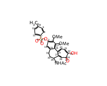 COc1c(OS(=O)(=O)c2ccc(C)cc2)cc2c(c1OC)-c1ccc(O)c(=O)cc1C(NC(C)=O)CC2